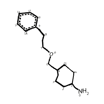 NC1CCC(COCCc2ccccc2)CC1